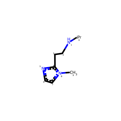 CC(C)NCCc1nccn1C